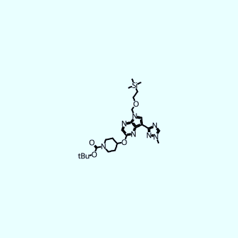 Cn1cnc(-c2cn(COCC[Si](C)(C)C)c3ncc(OC4CCN(C(=O)OC(C)(C)C)CC4)nc23)n1